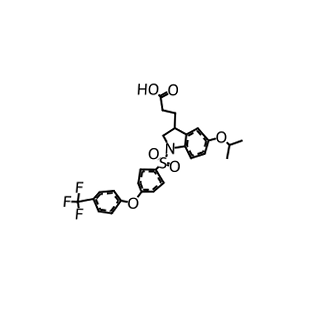 CC(C)Oc1ccc2c(c1)C(CCC(=O)O)CN2S(=O)(=O)c1ccc(Oc2ccc(C(F)(F)F)cc2)cc1